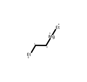 CCC[CH2][Mg][CH2]C